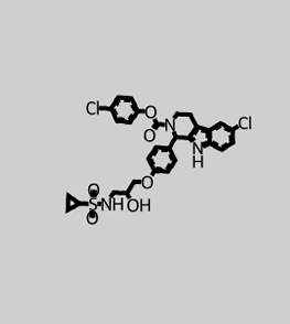 O=C(Oc1ccc(Cl)cc1)N1CCc2c([nH]c3ccc(Cl)cc23)C1c1ccc(OCC(O)CNS(=O)(=O)C2CC2)cc1